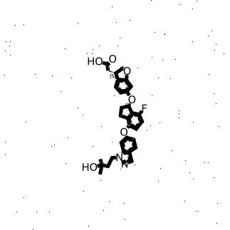 CC(C)(O)CCn1ncc2ccc(Oc3ccc(F)c4c3CC[C@H]4Oc3ccc4c(c3)OC[C@H]4CC(=O)O)cc21